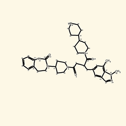 Cc1cc(CC(CC(=O)N2CCC(N3CCc4ccccc4NC3=O)CC2)C(=O)N2CCC(C3CCNCC3)CC2)cc2cnn(C)c12